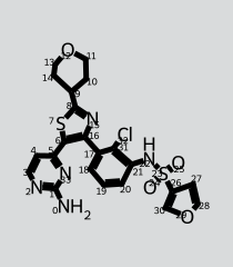 Nc1nccc(-c2sc(C3CCOCC3)nc2-c2cccc(NS(=O)(=O)c3ccoc3)c2Cl)n1